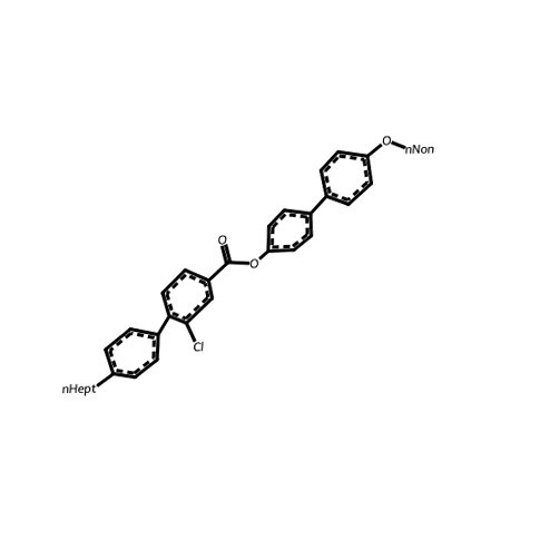 CCCCCCCCCOc1ccc(-c2ccc(OC(=O)c3ccc(-c4ccc(CCCCCCC)cc4)c(Cl)c3)cc2)cc1